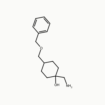 NCC1(O)CCC(COCc2ccccc2)CC1